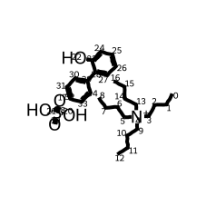 CCCC[N+](CCCC)(CCCC)CCCC.O=S(=O)(O)O.Oc1ccccc1-c1ccccc1